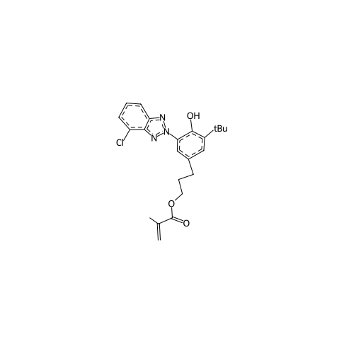 C=C(C)C(=O)OCCCc1cc(-n2nc3cccc(Cl)c3n2)c(O)c(C(C)(C)C)c1